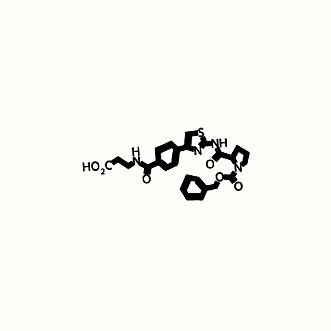 O=C(O)CCNC(=O)c1ccc(-c2csc(NC(=O)C3CCCN3C(=O)OCc3ccccc3)n2)cc1